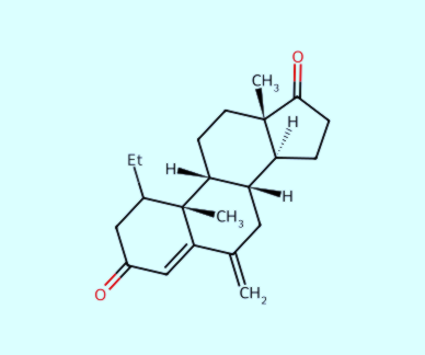 C=C1C[C@@H]2[C@@H](CC[C@]3(C)C(=O)CC[C@@H]23)[C@]2(C)C1=CC(=O)CC2CC